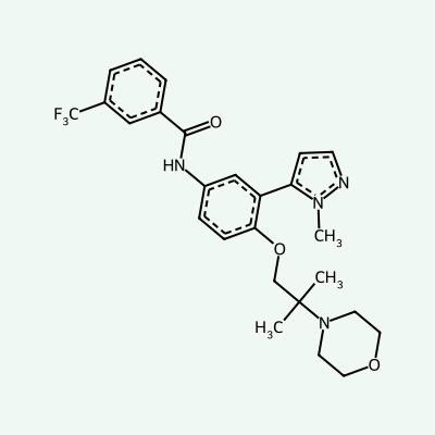 Cn1nccc1-c1cc(NC(=O)c2cccc(C(F)(F)F)c2)ccc1OCC(C)(C)N1CCOCC1